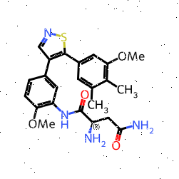 COc1ccc(-c2cnsc2-c2cc(C)c(C)c(OC)c2)cc1NC(=O)[C@H](N)CC(N)=O